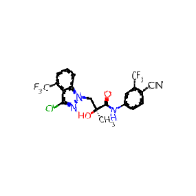 C[C@](O)(Cn1nc(Cl)c2c(C(F)(F)F)cccc21)C(=O)Nc1ccc(C#N)c(C(F)(F)F)c1